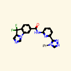 CC(C)n1cnnc1-c1cccc(NC(=O)c2ccc3c(c2)-n2cncc2C3(F)F)n1